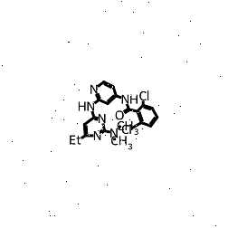 CCc1cc(Nc2cc(NC(=O)c3c(Cl)cccc3Cl)ccn2)nc(N(C)C)n1